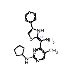 Cc1cnc(NC2CCCC2)nc1/C(N)=C1/NC(c2ccccc2)=CS1